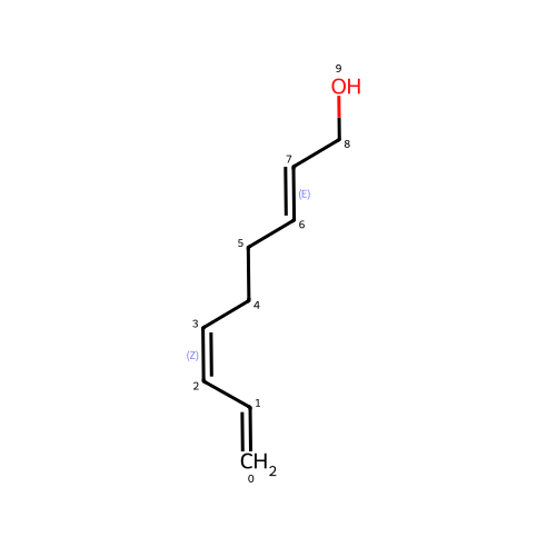 C=C/C=C\CC/C=C/CO